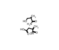 C=C(CC(=O)O)C(=O)O.C=C(CO)C(N)=O